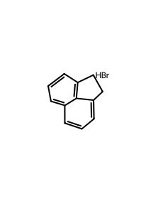 Br.c1cc2c3c(cccc3c1)CC2